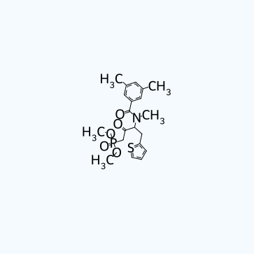 COP(=O)(CC(=O)C(Cc1cccs1)N(C)C(=O)c1cc(C)cc(C)c1)OC